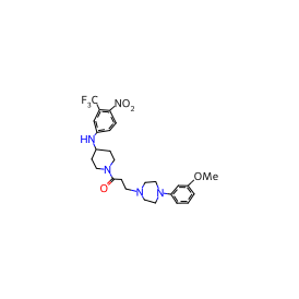 COc1cccc(N2CCN(CCC(=O)N3CCC(Nc4ccc([N+](=O)[O-])c(C(F)(F)F)c4)CC3)CC2)c1